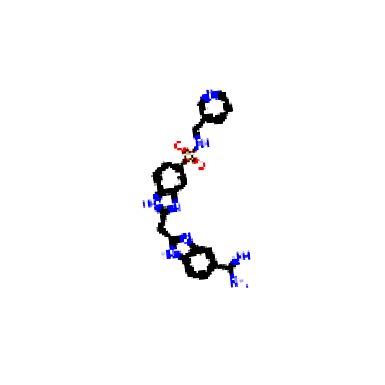 N=C(N)c1ccc2[nH]c(Cc3nc4cc(S(=O)(=O)NCc5cccnc5)ccc4[nH]3)nc2c1